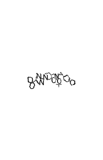 COC(=O)c1cnc(N2CCC(CN(C(=O)OC(C)(C)C)C3CC3c3ccc(OC)cc3)CC2)nc1